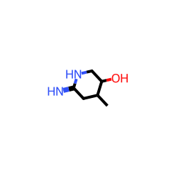 CC1CC(=N)NCC1O